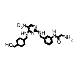 NCC(=O)Nc1cccc(CNc2ncc([N+](=O)[O-])c(NCC3CCC(CO)CC3)n2)c1